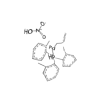 C=C[CH2][Pd][PH](c1ccccc1C)(c1ccccc1C)c1ccccc1C.O=[N+]([O-])O